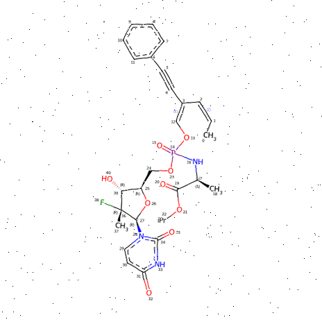 C/C=C\C(C#Cc1ccccc1)=C/OP(=O)(N[C@@H](C)C(=O)OC(C)C)OC[C@H]1O[C@@H](n2ccc(=O)[nH]c2=O)[C@](C)(F)[C@@H]1O